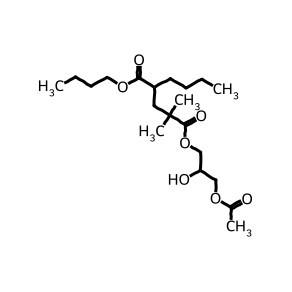 CCCCOC(=O)C(CCCC)CC(C)(C)C(=O)OCC(O)COC(C)=O